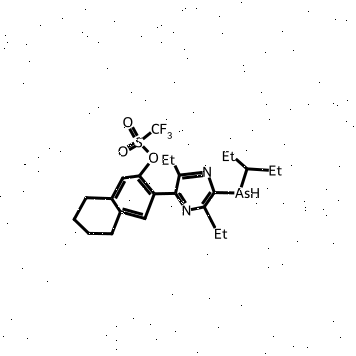 CCc1nc(-c2cc3c(cc2OS(=O)(=O)C(F)(F)F)CCCC3)c(CC)nc1[AsH]C(CC)CC